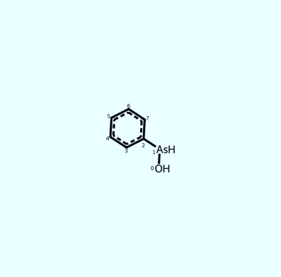 O[AsH]c1ccccc1